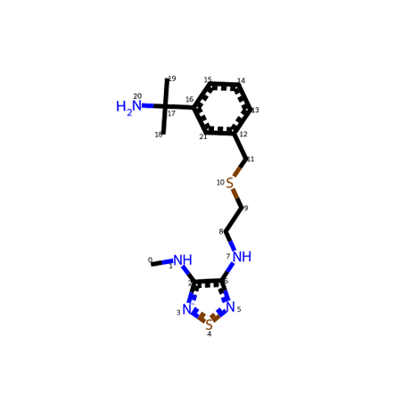 CNc1nsnc1NCCSCc1cccc(C(C)(C)N)c1